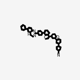 N#Cc1ccc(-c2ccc3c(c2)C2C=C(C4=CCCc5c4cccc5-c4ccc(C5=NCC[C@H]6C=C(c7ccccc7)C=CC6=N5)cc4)CCC2O3)cc1